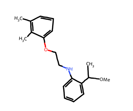 COC(C)c1ccccc1NCCOc1cccc(C)c1C